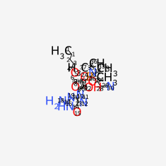 CCCCCOC[C@H]1O[C@@H](n2cnc3c(=O)[nH]c(N)nc32)[C@H](O)[C@@H]1OP(OCCC#N)N(C(C)C)C(C)C